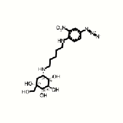 [N-]=[N+]=Nc1ccc(NCCCCCN[C@H]2C[C@](O)(CO)[C@@H](O)[C@H](O)[C@H]2O)c([N+](=O)[O-])c1